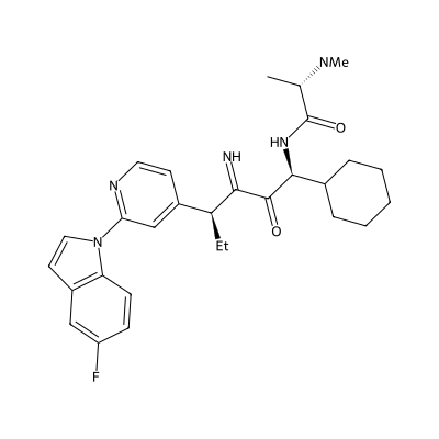 CC[C@H](C(=N)C(=O)[C@@H](NC(=O)[C@H](C)NC)C1CCCCC1)c1ccnc(-n2ccc3cc(F)ccc32)c1